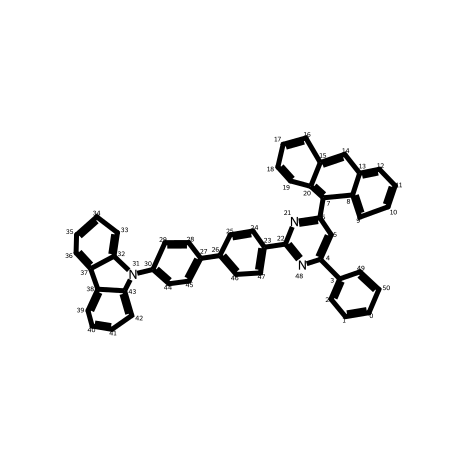 c1ccc(-c2cc(-c3c4ccccc4cc4ccccc34)nc(-c3ccc(-c4ccc(-n5c6ccccc6c6ccccc65)cc4)cc3)n2)cc1